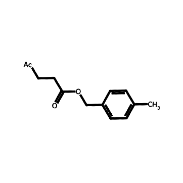 CC(=O)CCC(=O)OCc1ccc(C)cc1